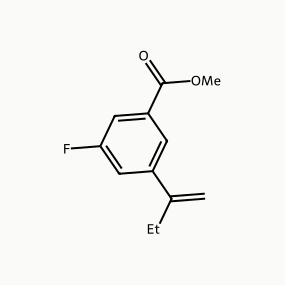 C=C(CC)c1cc(F)cc(C(=O)OC)c1